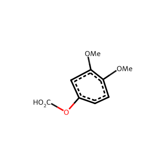 COc1ccc(OC(=O)O)cc1OC